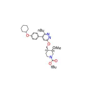 CCCCc1nnc(OC[C@@H]2CCN(C(=O)OC(C)(C)C)C[C@@H]2OC)cc1-c1ccc(OC2CCCCC2)cc1